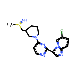 CS(=N)C[C@H]1CCCN(c2ccnc(-c3cnc4ccc(Cl)cn34)n2)C1